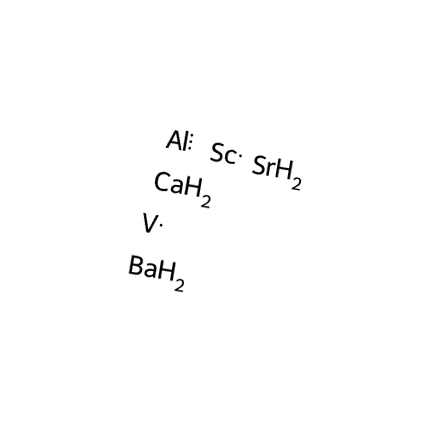 [Al].[BaH2].[CaH2].[Sc].[SrH2].[V]